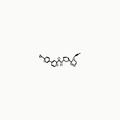 CC#CCN1CC=NN=C1C1=CC=CC(NC(=O)c2cc(-c3ccc(C4CC4)nc3)ccn2)C1